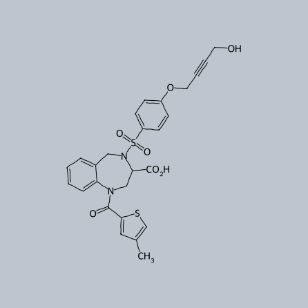 Cc1csc(C(=O)N2CC(C(=O)O)N(S(=O)(=O)c3ccc(OCC#CCO)cc3)Cc3ccccc32)c1